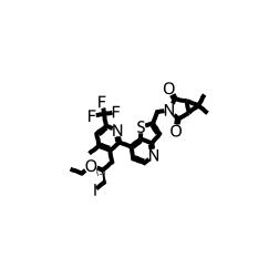 CCO[C@H](CI)Cc1c(C)cc(C(F)(F)F)nc1-c1ccnc2cc(CN3C(=O)C4C(C3=O)C4(C)C)sc12